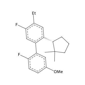 CCc1cc([C@@H]2CCCC2(C)C)c(-c2cc(OC)ccc2F)cc1F